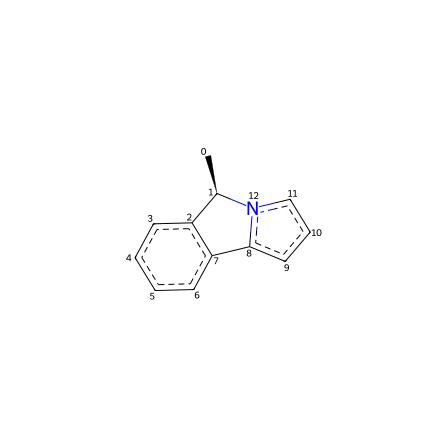 C[C@@H]1c2ccccc2-c2cccn21